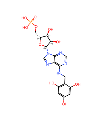 O=P(O)(O)OC[C@H]1O[C@@H](n2cnc3c(NCc4c(O)cc(O)cc4O)ncnc32)[C@H](O)[C@@H]1O